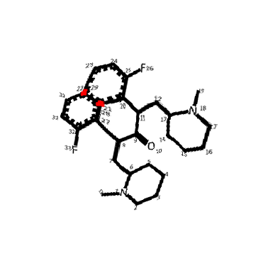 CN1CCCCC1CC(C(=O)C(CC1CCCCN1C)c1ccccc1F)c1ccccc1F